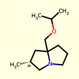 CC(C)OCC12CCCN1C[C@H](C)C2